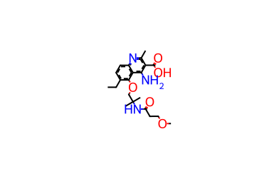 CCc1ccc2nc(C)c(C(=O)O)c(N)c2c1OCC(C)(C)NC(=O)CCOC